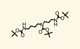 CC(C)(C)OC(=O)NCCCCN(CCCNC(=O)OC(C)(C)C)C(=O)OC(C)(C)C